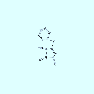 CCCCN1C(=O)C=C(Cc2ccccc2)C1=O